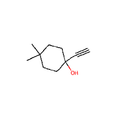 C#CC1(O)CCC(C)(C)CC1